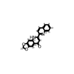 O=c1cc(-c2ccc3ccccc3n2)[nH]c2cc3c(cc12)OCO3